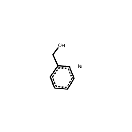 OCc1ccccc1.[N]